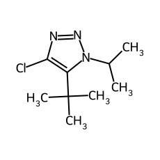 CC(C)n1nnc(Cl)c1C(C)(C)C